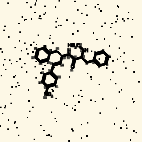 O=C(O)N[C@@H](Cc1ccccc1)C(=O)N[C@H](/C=C/c1ccc([N+](=O)[O-])cc1)Cc1ccccc1